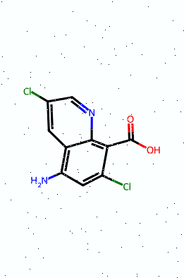 Nc1cc(Cl)c(C(=O)O)c2ncc(Cl)cc12